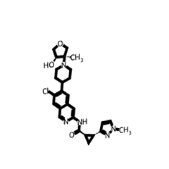 Cn1ccc([C@@H]2C[C@H]2C(=O)Nc2cc3cc(C4CCN([C@]5(C)COC[C@@H]5O)CC4)c(Cl)cc3cn2)n1